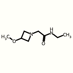 CCNC(=O)CN1CC(OC)C1